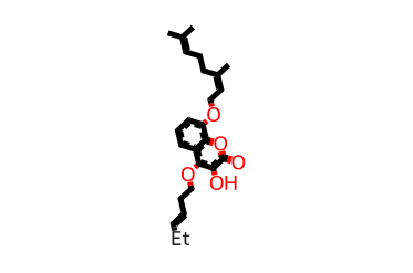 CCC=CCCOc1c(O)c(=O)oc2c(OCC=C(C)CCC=C(C)C)cccc12